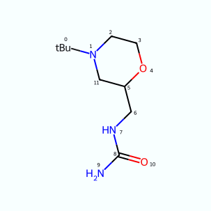 CC(C)(C)N1CCOC(CNC(N)=O)C1